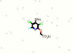 CCOC(=O)COc1nc(F)c(Cl)c(NC)c1Cl